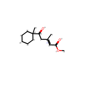 COC(=O)/C=C(\C)CC(=O)C1(C)CCCCC1